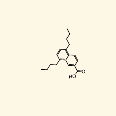 CCCCc1ccc(CCCC)c2cc(C(=O)O)ccc12